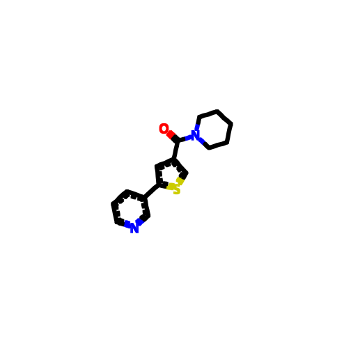 O=C(c1csc(-c2cccnc2)c1)N1CCCCC1